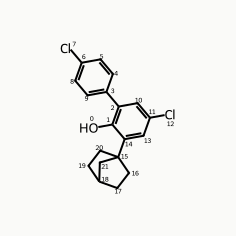 Oc1c(-c2ccc(Cl)cc2)cc(Cl)cc1C12CCC(CC1)C2